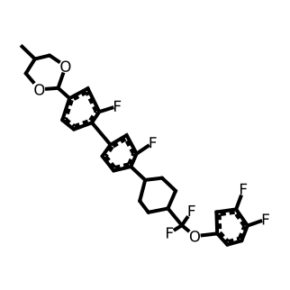 CC1COC(c2ccc(-c3ccc(C4CCC(C(F)(F)Oc5ccc(F)c(F)c5)CC4)c(F)c3)c(F)c2)OC1